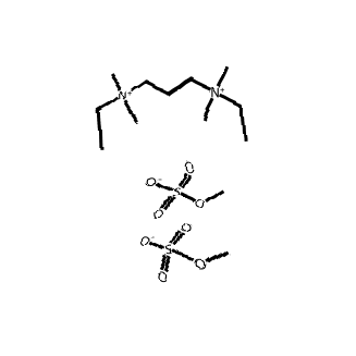 CC[N+](C)(C)CCC[N+](C)(C)CC.COS(=O)(=O)[O-].COS(=O)(=O)[O-]